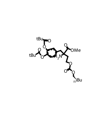 CC[C@H](C)COC(=O)OCCC(N)(Cc1ccc(OC(=O)C(C)(C)C)c(OC(=O)C(C)(C)C)c1)C(=O)OC